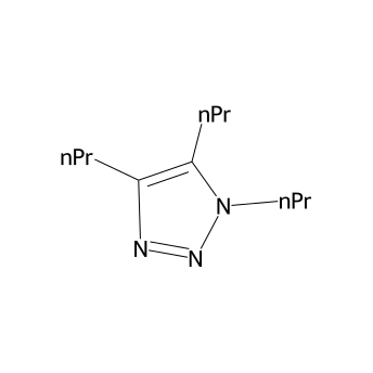 CCCc1nnn(CCC)c1CCC